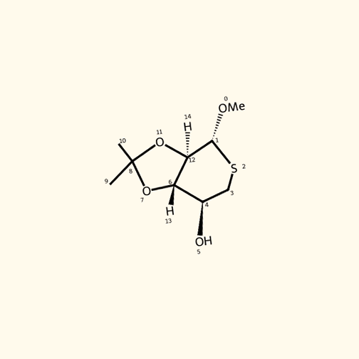 CO[C@@H]1SC[C@@H](O)[C@@H]2OC(C)(C)O[C@H]21